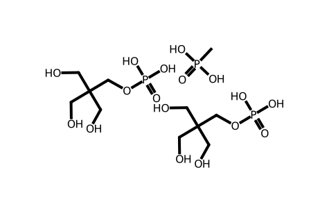 CP(=O)(O)O.O=P(O)(O)OCC(CO)(CO)CO.O=P(O)(O)OCC(CO)(CO)CO